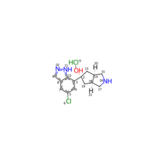 Cl.O[C@]1(c2cc(Cl)cc3cn[nH]c23)C[C@H]2CNC[C@H]2C1